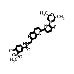 C[C@@H]1CN(c2nc(-c3ccc4cnc(CNC(=O)c5ccc(Cl)c(S(C)(=O)=O)c5)cc4n3)ccc2F)C[C@H](C)O1